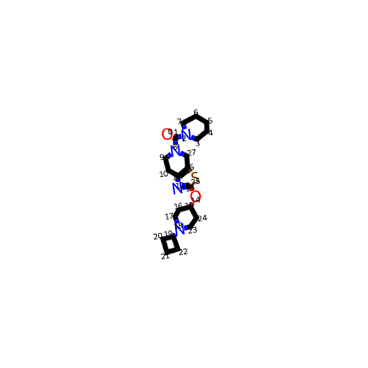 O=C(N1CCCCC1)N1CCc2nc(OC3CCN(C4CCC4)CC3)sc2C1